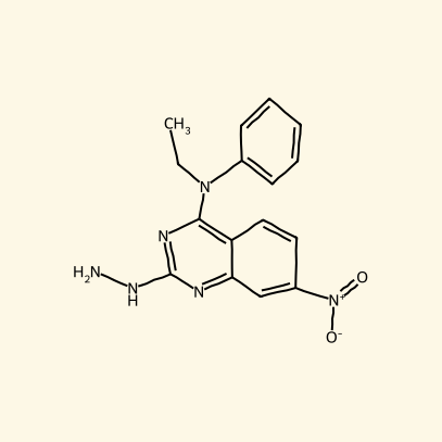 CCN(c1ccccc1)c1nc(NN)nc2cc([N+](=O)[O-])ccc12